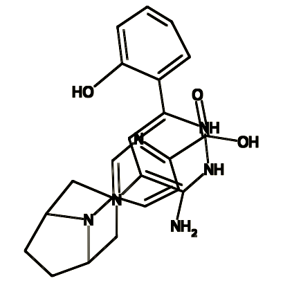 NC1=C(N2CC3CCC(C2)N3c2ccc(C(=O)O)nc2)C=C(c2ccccc2O)NN1